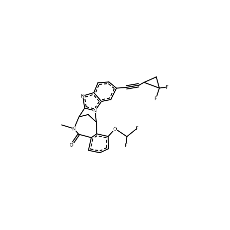 CN1C(=O)c2cccc(OC(F)F)c2C2CC1c1nc3ccc(C#CC4CC4(F)F)cc3n12